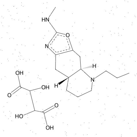 CCCN1CCC[C@@H]2Cc3nc(NC)oc3C[C@H]21.O=C(O)C(O)C(O)C(=O)O